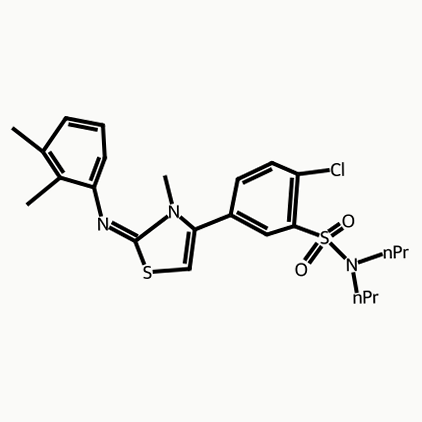 CCCN(CCC)S(=O)(=O)c1cc(-c2cs/c(=N/c3cccc(C)c3C)n2C)ccc1Cl